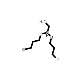 CC[SiH](OCCCCl)OCCCCl